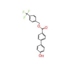 O=C(OCc1ccc(C(F)(F)F)cc1)c1ccc(-c2ccc(O)cc2)cc1